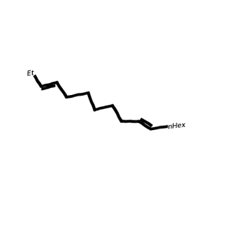 [CH2]CCCCC/C=C/CCCCC/C=C/CC